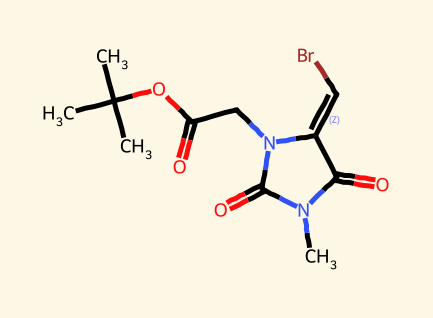 CN1C(=O)/C(=C/Br)N(CC(=O)OC(C)(C)C)C1=O